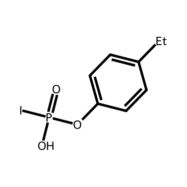 CCc1ccc(OP(=O)(O)I)cc1